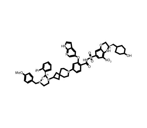 COc1ccc(CN2CCN(C3CC4(CCN(c5ccc(C(=O)NS(=O)(=O)c6cc7c(c([N+](=O)[O-])c6)N[C@H](CC6CCC(O)CC6)CO7)c(Oc6cnc7[nH]ccc7c6)c5)CC4)C3)[C@H](c3ccccc3C(C)C)C2)cc1